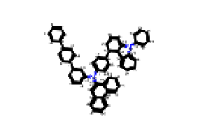 c1ccc(-c2ccc(-c3cccc(N(c4ccc(-c5cccc6c5c5ccccc5n6-c5ccccc5)cc4)c4cc5ccccc5c5ccccc45)c3)cc2)cc1